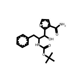 CC(C)(C)OC(=O)NC(Cc1ccccc1)C(O)c1sccc1C(N)=O